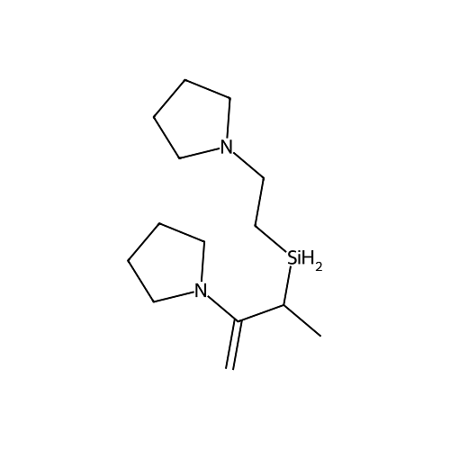 C=C(C(C)[SiH2]CCN1CCCC1)N1CCCC1